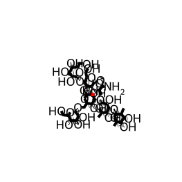 CO[C@@H]1OC(CO)[C@H](O[C@H]2OC(CO)[C@@H](O)[C@H](O)C2O)[C@H](O[C@@H]2OC(CO[C@H]3OC(CO)[C@@H](O)[C@H](O)C3O)[C@@H](O)[C@H](O[C@@H]3OC(C)[C@H](O)[C@H](O[C@@H]4OC(C)[C@@H](O)[C@H](O)C4C)C3O)C2O)C1NC(C)C(N)=O